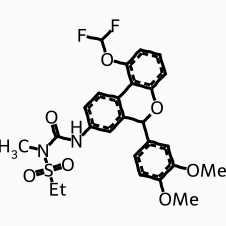 CCS(=O)(=O)N(C)C(=O)Nc1ccc2c(c1)C(c1ccc(OC)c(OC)c1)Oc1cccc(OC(F)F)c1-2